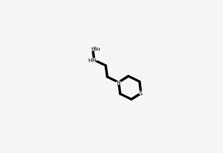 CC(C)(C)NCCN1CCSCC1